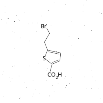 O=C(O)c1ccc(CCBr)s1